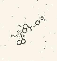 CCOC(=O)C(C)N(c1ccc2c(c1)CCCN2C(=O)CCc1ccc(C(=N)N)cc1)S(=O)(=O)c1cccc2ccccc12.Cl